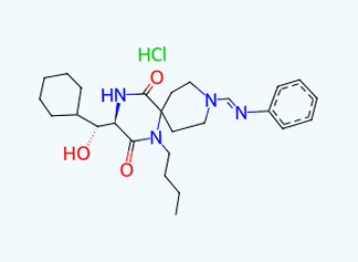 CCCCN1C(=O)[C@@H]([C@H](O)C2CCCCC2)NC(=O)C12CCN(C=Nc1ccccc1)CC2.Cl